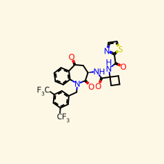 O=C(NC1(C(=O)N[C@@H]2CC(=O)c3ccccc3N(Cc3cc(C(F)(F)F)cc(C(F)(F)F)c3)C2=O)CCC1)c1nccs1